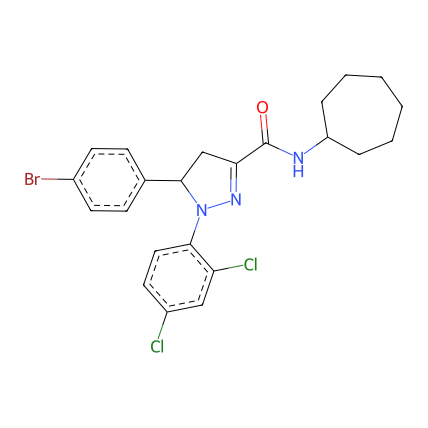 O=C(NC1CCCCCC1)C1=NN(c2ccc(Cl)cc2Cl)C(c2ccc(Br)cc2)C1